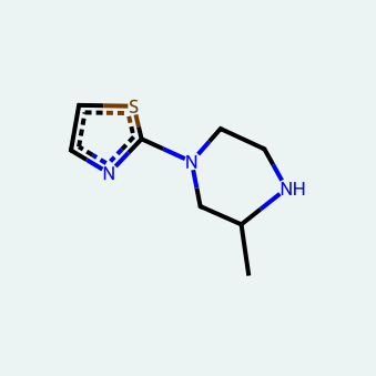 CC1CN(c2nccs2)CCN1